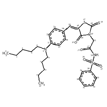 CCCCCN(CCCCC)c1ccc(C=C2SC(=S)N(CC(=O)NS(=O)(=O)c3ccccc3)C2=O)cc1